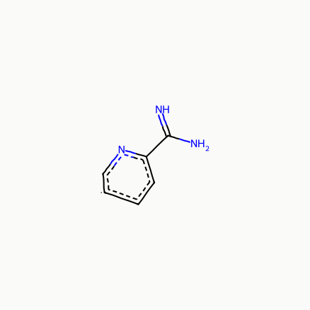 N=C(N)c1cc[c]cn1